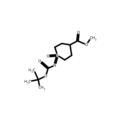 COC(=O)C1CCS(=O)(=NC(=O)OC(C)(C)C)CC1